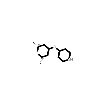 C[C@@H]1CC(OC2CCNCC2)C[C@H](C)O1